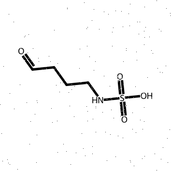 O=CCCCNS(=O)(=O)O